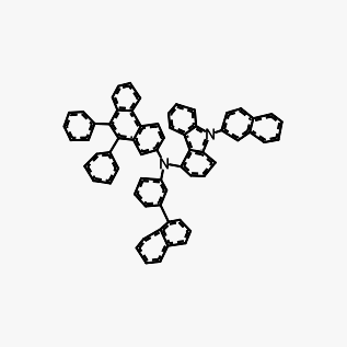 c1ccc(-c2c(-c3ccccc3)c3cc(N(c4cccc(-c5cccc6ccccc56)c4)c4cccc5c4c4ccccc4n5-c4ccc5ccccc5c4)ccc3c3ccccc23)cc1